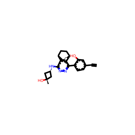 C#Cc1ccc(-c2nnc(N[C@H]3C[C@@](C)(O)C3)c3c2C2CCC3CC2)c(O)c1